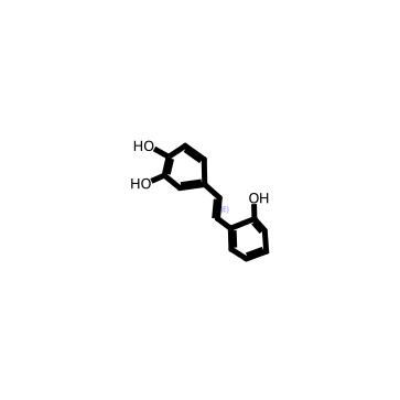 Oc1ccc(/C=C/c2ccccc2O)cc1O